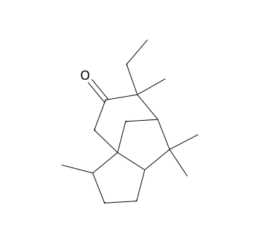 CCC1(C)C(=O)CC23CC1C(C)(C)C2CCC3C